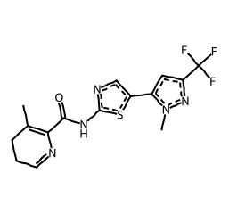 CC1=C(C(=O)Nc2ncc(-c3cc(C(F)(F)F)nn3C)s2)N=CCC1